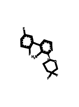 Nc1c(-c2cc(F)ccc2F)ccnc1[C@H]1CCC(F)(F)CO1